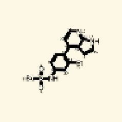 CCCCS(=O)(=O)Nc1ccc(-c2ccnc3[nH]ccc23)c(CC)c1